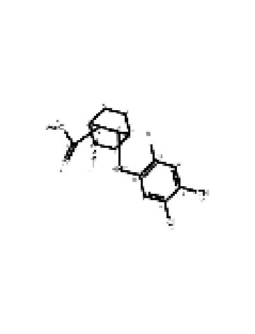 COC(=O)[C@H]1C2CCC(CC2)C1Nc1cc(Cl)c(C#N)cc1F